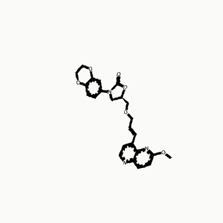 COc1ccc2nccc(/C=C/COC[C@H]3CN(c4ccc5c(c4)OCCO5)C(=O)O3)c2n1